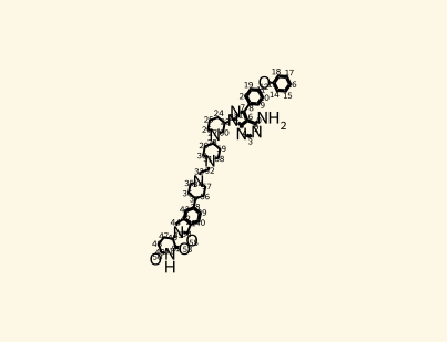 Nc1ncnc2c1c(-c1ccc(Oc3ccccc3)cc1)nn2C1CCCN(C2CCN(CCN3CCC(c4ccc5c(c4)CN(C4CCC(=O)NC4=O)C5=O)CC3)CC2)C1